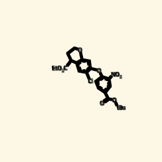 CCOC(=O)C1CCOc2cc(Oc3ccc(C(=O)OC(C)(C)C)cc3[N+](=O)[O-])c(Cl)cc21